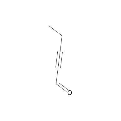 CCC#CC=O